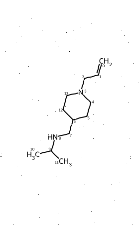 C=CCN1CCC(CNC(C)C)CC1